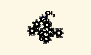 C=C(/C=C\C=C/C)c1ccc2c3ccccc3n(-c3ccc4c(c3)oc3cccc(-c5nc(-c6ccccc6)nc(-c6ccccc6)n5)c34)c2c1